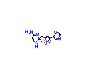 NC1=NC(N)(Cc2cc(-c3cnccn3)no2)NC=C1